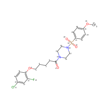 O=C(CCCCOc1ccc(Cl)cc1F)N1CCN(S(=O)(=O)c2ccc(OC(F)(F)F)cc2)CC1